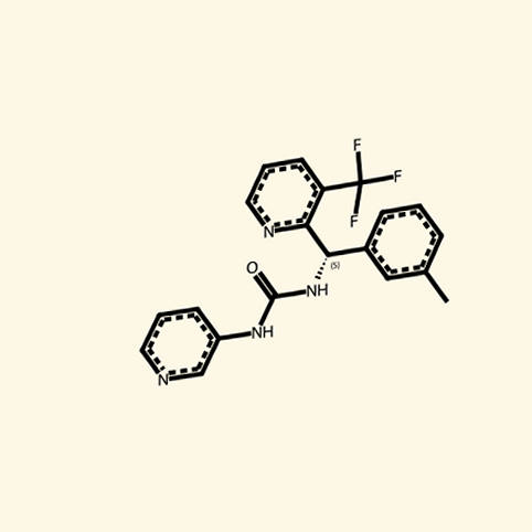 Cc1cccc([C@H](NC(=O)Nc2cccnc2)c2ncccc2C(F)(F)F)c1